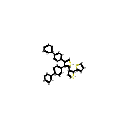 c1ccc(-c2ccc(-c3csc(-c4ccsc4-c4cccs4)c3-c3ccc(-c4ccccc4)cc3)cc2)cc1